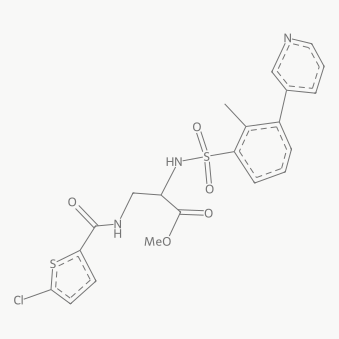 COC(=O)C(CNC(=O)c1ccc(Cl)s1)NS(=O)(=O)c1cccc(-c2cccnc2)c1C